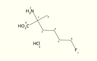 CC(N)(CCCCF)C(=O)O.Cl